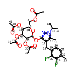 CC(=O)OC[C@H]1OC(Oc2nn(C(C)C)c(C)c2Cc2ccc(C)c(F)c2F)[C@H](OC(C)=O)[C@@H](OC(C)=O)[C@@H]1OC(C)=O